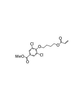 C=CC(=O)OCCCCOc1c(Cl)cc(C(=O)OC)cc1Cl